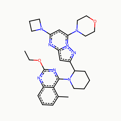 CCOc1nc(N2CCCCC2c2cc3nc(N4CCC4)cc(N4CCOCC4)n3n2)c2c(C)cccc2n1